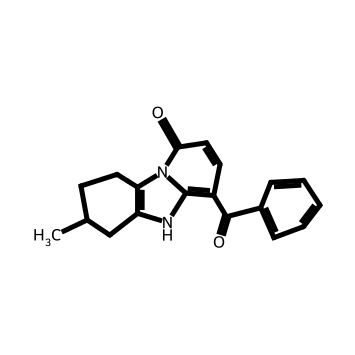 CC1CCc2c([nH]c3c(C(=O)c4ccccc4)ccc(=O)n23)C1